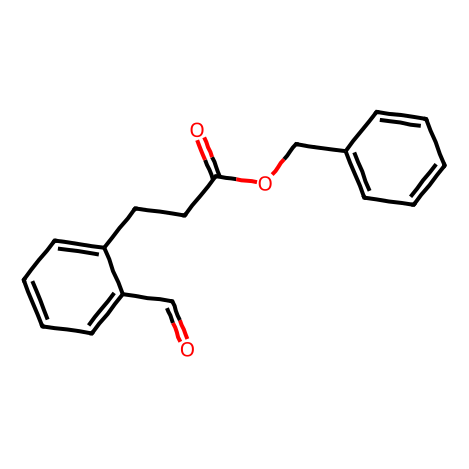 O=Cc1ccccc1CCC(=O)OCc1ccccc1